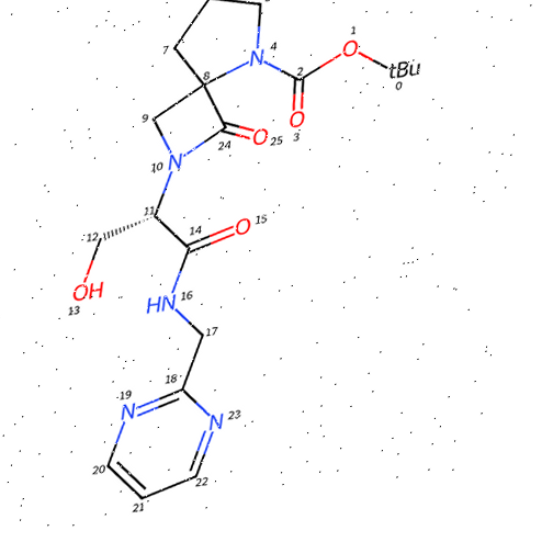 CC(C)(C)OC(=O)N1CCCC12CN([C@@H](CO)C(=O)NCc1ncccn1)C2=O